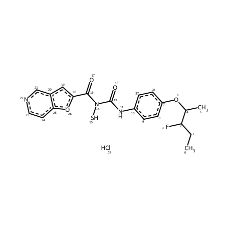 CCC(F)C(C)Oc1ccc(NC(=O)N(S)C(=O)c2cc3cnccc3o2)cc1.Cl